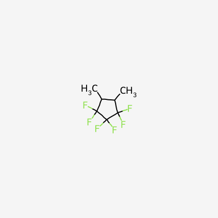 CC1C(C)C(F)(F)C(F)(F)C1(F)F